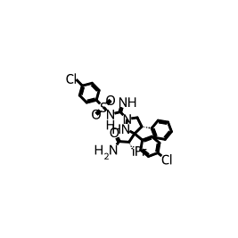 CC(C)[C@H](C(N)=O)C1(c2ccc(Cl)cc2)NN(C(=N)NS(=O)(=O)c2ccc(Cl)cc2)C[C@@H]1c1ccccc1